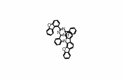 c1ccc(C2=NC(c3cccc4oc5ccccc5c34)=NC(c3ccccc3-n3c4ccccc4c4ccc5c6ccccc6oc5c43)N2)cc1